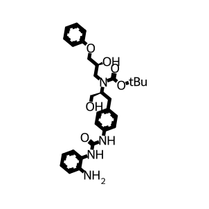 CC(C)(C)OC(=O)N(C[C@H](O)COc1ccccc1)[C@H](CO)Cc1ccc(NC(=O)Nc2ccccc2N)cc1